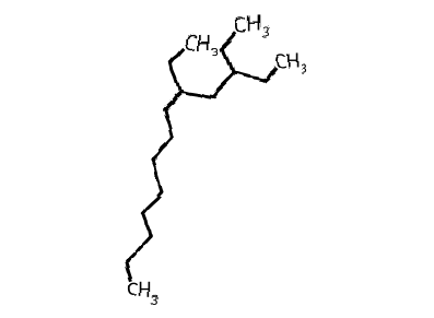 CCCCCCCCC(CC)CC(CC)CC